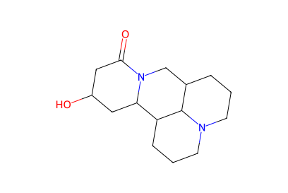 O=C1CC(O)CC2C3CCCN4CCCC(CN12)C34